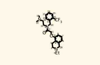 CCN1CCc2c(cccc2OCC(=O)N(CCN(C)C)Cc2ccccc2C(F)(F)F)C1